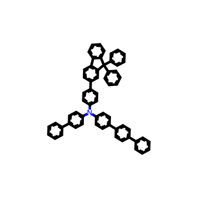 c1ccc(-c2ccc(-c3ccc(N(c4ccc(-c5ccccc5)cc4)c4ccc(-c5ccc6c(c5)C(c5ccccc5)(c5ccccc5)c5ccccc5-6)cc4)cc3)cc2)cc1